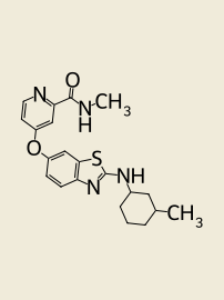 CNC(=O)c1cc(Oc2ccc3nc(NC4CCCC(C)C4)sc3c2)ccn1